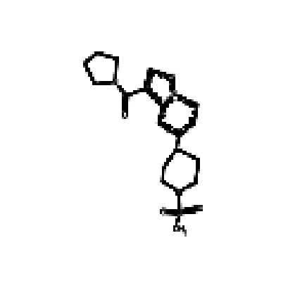 CS(=O)(=O)N1CCC(c2ccn3ncc(C(=O)N4CCCC4)c3c2)CC1